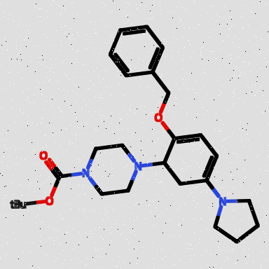 CC(C)(C)OC(=O)N1CCN(C2CC(N3CCCC3)=CC=C2OCc2ccccc2)CC1